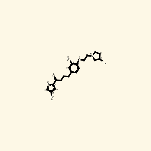 O=C(CCCc1ccc(OCCN2CCC(F)C2)c(Br)c1)c1cc(Br)cs1